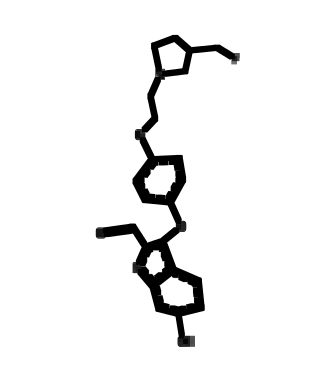 O=Cc1sc2cc(O)ccc2c1Oc1ccc(OCCN2CCC(CF)C2)cc1